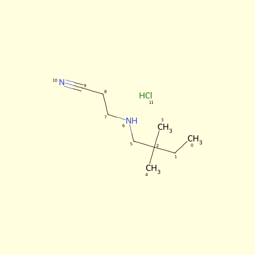 CCC(C)(C)CNCCC#N.Cl